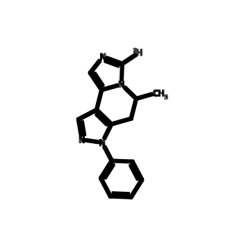 [2H]c1ncc2n1C(C)Cc1c-2cnn1-c1ccccc1